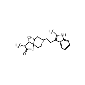 Cc1[nH]c2ccccc2c1CCN1CCC2(CC1)OC(=O)N(C)C2C